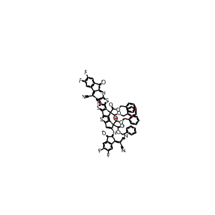 N#CC(C#N)=C1/C(=N/C2=Cc3sc4c(c3C2(C(=O)OCc2ccccc2)C(=O)OCc2ccccc2)C(C(=O)OCc2ccccc2)(C(=O)OCc2ccccc2)c2c-4sc3cc(/N=C4/C(=O)c5cc(F)c(F)cc5C4=C(C#N)C#N)sc23)C(=O)c2cc(F)c(F)cc21